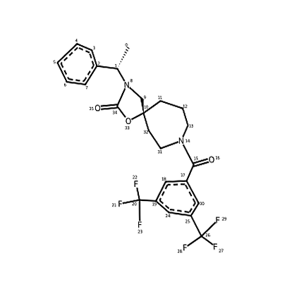 C[C@@H](c1ccccc1)N1C[C@]2(CCCN(C(=O)c3cc(C(F)(F)F)cc(C(F)(F)F)c3)CC2)OC1=O